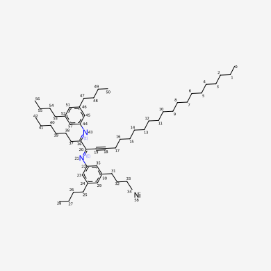 CCCCCCCCCCCCCCCCCCC#CC(=N\c1cc(CCCC)cc(CCCC)c1)/C(CCCCCC)=N/c1cc(CCCC)cc(CCCC)c1.[Ni]